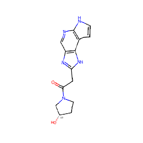 O=C(Cc1nc2cnc3[nH]ccc3c2[nH]1)N1CC[C@H](O)C1